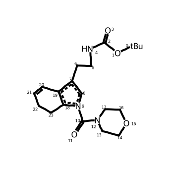 CC(C)(C)OC(=O)NCCc1cn(C(=O)N2CCOCC2)c2c1C=CCC2